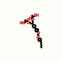 C=C(CO)C(=O)OCCC(CCOC(=O)C(=C)CO)C1CCC(c2ccc(OCCOc3ccc(CCCCC)cc3)cc2)CC1